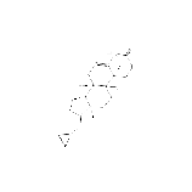 C[C@]12CCC(=O)NC1=CC[C@@H]1[C@H]2CC[C@]2(C)C(OC3CC3)CC[C@@H]12